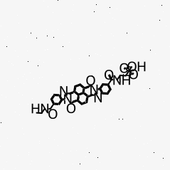 CCNC(=O)c1ccc2nc3c4ccc5c(=O)n6c7cc(C(=O)NCCS(=O)(=O)O)ccc7nc6c6ccc(c(=O)n3c2c1)c4c56